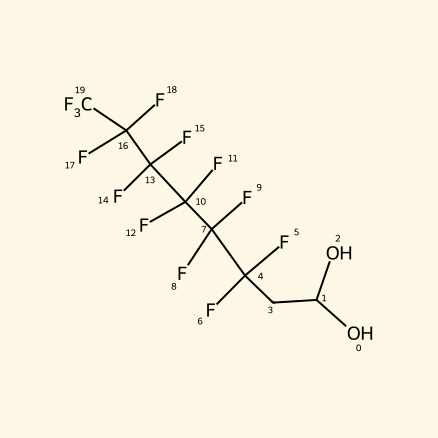 OC(O)CC(F)(F)C(F)(F)C(F)(F)C(F)(F)C(F)(F)C(F)(F)F